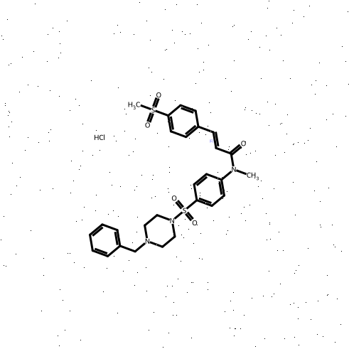 CN(C(=O)/C=C/c1ccc(S(C)(=O)=O)cc1)c1ccc(S(=O)(=O)N2CCN(Cc3ccccc3)CC2)cc1.Cl